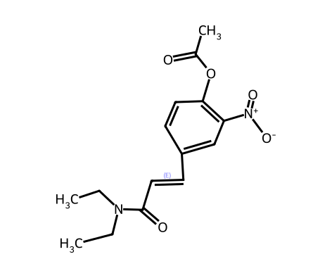 CCN(CC)C(=O)/C=C/c1ccc(OC(C)=O)c([N+](=O)[O-])c1